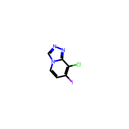 Clc1c(I)ccn2cnnc12